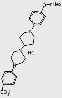 CCCCCCOc1ccc(N2CCC(N3CCN(c4ccc(C(=O)O)cc4)CC3)CC2)cc1.Cl